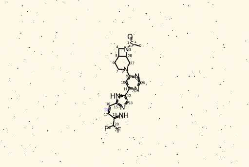 C[S+]([O-])N1CC2CCN(c3cc(-c4cnc(/C=C\C(=N)C(F)F)[nH]4)ncn3)CC21